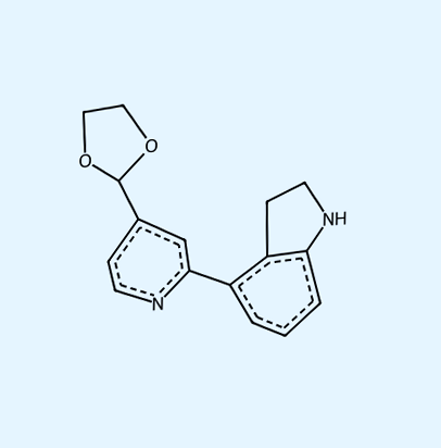 c1cc2c(c(-c3cc(C4OCCO4)ccn3)c1)CCN2